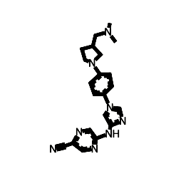 CN(C)CC1CCN(c2ccc(-n3cnc(Nc4cnc(C#N)cn4)c3)cc2)C1